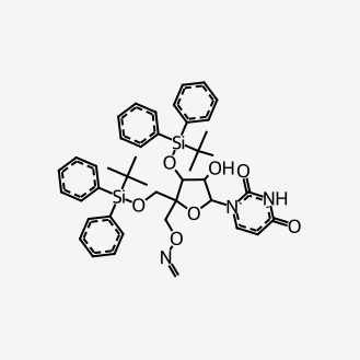 C=NOCC1(CO[Si](c2ccccc2)(c2ccccc2)C(C)(C)C)OC(n2ccc(=O)[nH]c2=O)C(O)C1O[Si](c1ccccc1)(c1ccccc1)C(C)(C)C